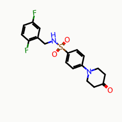 O=C1CCN(c2ccc(S(=O)(=O)NCc3cc(F)ccc3F)cc2)CC1